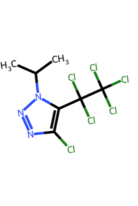 CC(C)n1nnc(Cl)c1C(Cl)(Cl)C(Cl)(Cl)Cl